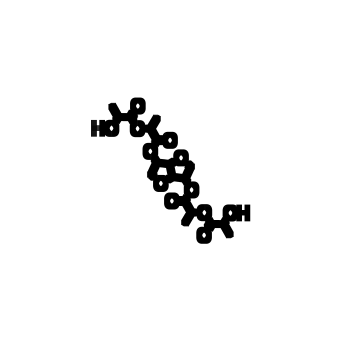 CC(O)C(=O)OC(C)C(=O)OC1COC2C(OC(=O)C(C)OC(=O)C(C)O)COC12